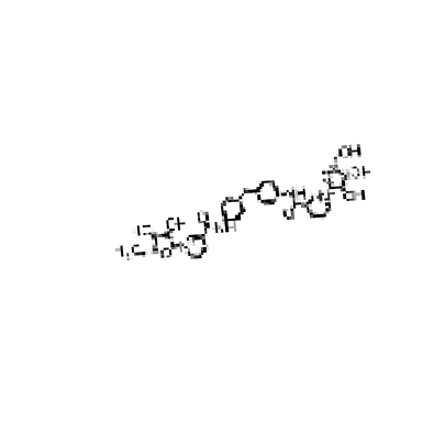 CC[C@H]1O[C@@H]([n+]2cccc(C(=O)Nc3ccc(Cc4ccc(NC(=O)c5ccc[n+]([C@@H]6O[C@H](CO)[C@@H](O)[C@H]6O)c5)cc4)cc3)c2)[C@H](O)[C@@H]1O